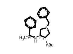 CCCC[C@H]1CN(Cc2ccccc2)C[C@H]1N[C@H](C)c1ccccc1